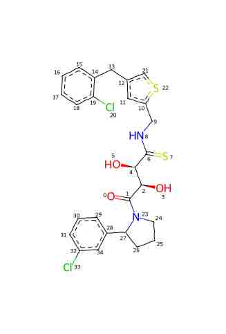 O=C([C@H](O)[C@@H](O)C(=S)NCc1cc(Cc2ccccc2Cl)cs1)N1CCCC1c1cccc(Cl)c1